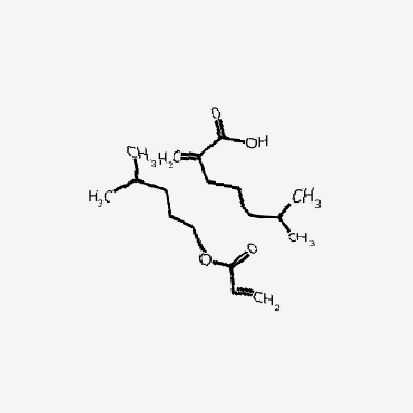 C=C(CCCC(C)C)C(=O)O.C=CC(=O)OCCCC(C)C